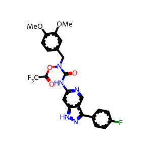 COc1ccc(CN(OC(=O)C(F)(F)F)C(=O)Nc2cc3[nH]nc(-c4ccc(F)cc4)c3cn2)cc1OC